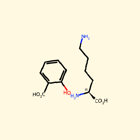 NCCCC[C@H](N)C(=O)O.O=C(O)c1ccccc1O